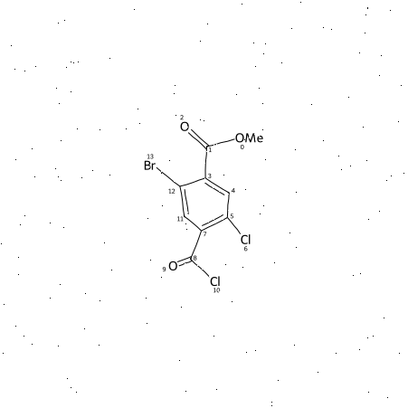 COC(=O)c1cc(Cl)c(C(=O)Cl)cc1Br